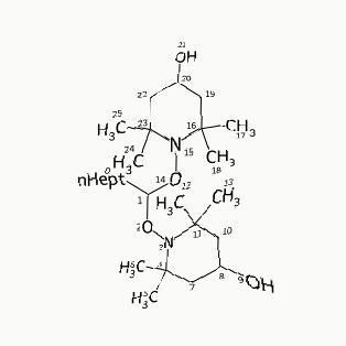 CCCCCCCC(ON1C(C)(C)CC(O)CC1(C)C)ON1C(C)(C)CC(O)CC1(C)C